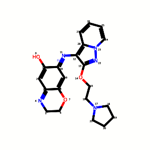 OC1=CC2=NCCOC2=C/C1=N\c1c(OCCN2CCCC2)nn2ccccc12